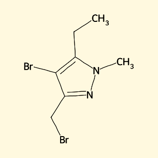 CCc1c(Br)c(CBr)nn1C